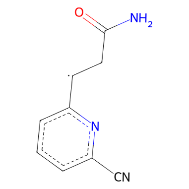 N#Cc1cccc([CH]CC(N)=O)n1